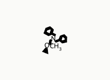 C[C@@H](CN(Cc1ccccc1)Cc1ccccc1)OC1CC1